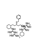 CCCC(CCC1CCCCC1NC(=N)NC(=N)N)SCc1ccccc1.N=C(N)NC(=N)NC1CCCCC1